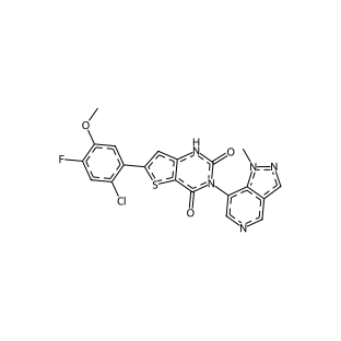 COc1cc(-c2cc3[nH]c(=O)n(-c4cncc5cnn(C)c45)c(=O)c3s2)c(Cl)cc1F